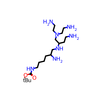 CC(C)(C)OC(=O)NCCCCC(N)CNC(CCN)CN(CCN)CCN